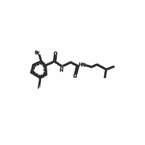 CC(C)C[CH]NC(=O)CNC(=O)c1cc(F)ccc1Br